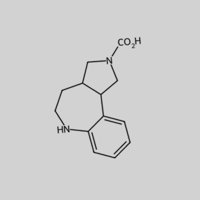 O=C(O)N1CC2CCNc3ccccc3C2C1